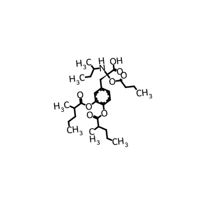 CCCC(=O)O[C@](Cc1ccc(OC(=O)C(C)CCC)c(OC(=O)C(C)CCC)c1)(NC(C)CC)C(=O)O